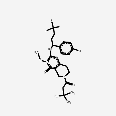 COn1c(NC(CCC(F)(F)F)c2ccc(Cl)cc2)nc2c(c1=O)CN(C(=O)OC(C)(C)C)CC2